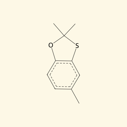 Cc1ccc2c(c1)SC(C)(C)O2